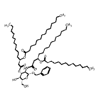 CCCCCCCCCCCCCC(=O)O[C@H](CCCCCCCCCCC)CC(=O)N[C@H]1[C@H](OCc2ccccc2)O[C@H](CO)[C@@H](O)[C@@H]1OC(=O)C[C@@H](CCCCCCCCCCC)OC(=O)CCCCCCCCCCCCC